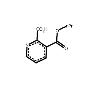 CCCOC(=O)c1cccnc1C(=O)O